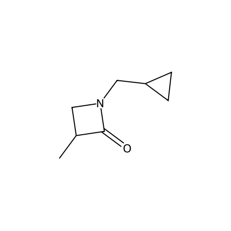 CC1CN(CC2CC2)C1=O